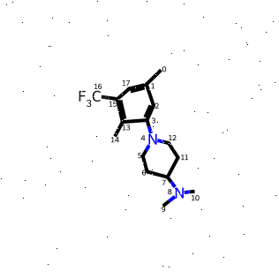 Cc1cc(N2CCC(N(C)C)CC2)c(C)c(C(F)(F)F)c1